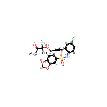 COC(=O)C(C)(C)OCC#Cc1cc(Cl)ccc1NS(=O)(=O)c1ccc2c(c1)OCO2